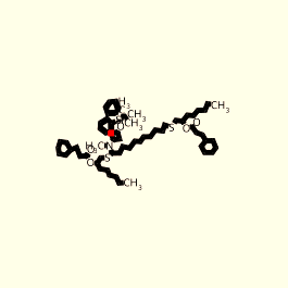 CCCCCCC(CSCCCCCCCCCCC(SCC(CCCCCC)OC(=O)CCC1CCCCC1)N(C)C1CC(O[Si](c2ccccc2)(c2ccccc2)C(C)(C)C)C1)OC(=O)CCC1CCCCC1